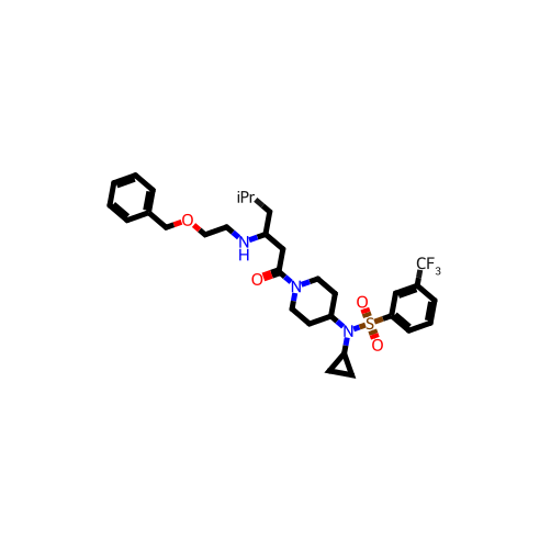 CC(C)CC(CC(=O)N1CCC(N(C2CC2)S(=O)(=O)c2cccc(C(F)(F)F)c2)CC1)NCCOCc1ccccc1